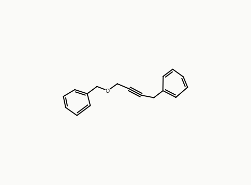 C(#CCOCc1ccccc1)[CH]c1ccccc1